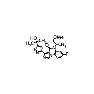 COCC(C)n1c(=O)c2c(-c3noc(C(C)(C)O)n3)ncn2c2ccc(F)cc21